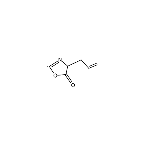 C=CCC1N=[C]OC1=O